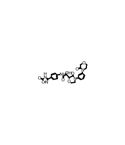 O=C(Nc1ccc(-c2noc(=O)[nH]2)cc1)[C@H](O)[C@H]1OCCN(c2cccc(N3CCOCC3=O)c2)C1=O